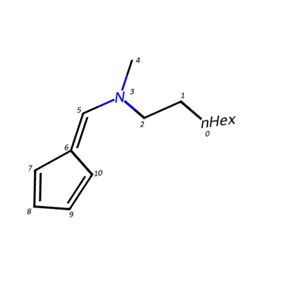 CCCCCCCCN(C)C=C1C=CC=C1